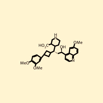 COc1ccc2nccc([C@H](O)C[C@H](C3CC(c4ccc(OC)c(OC)c4)C3)C3CCNCC3C(=O)O)c2c1